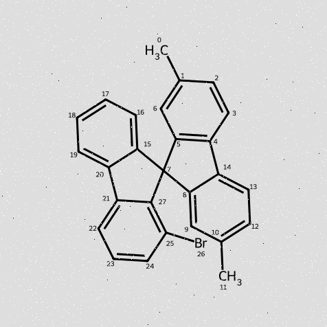 Cc1ccc2c(c1)C1(c3cc(C)ccc3-2)c2ccccc2-c2cccc(Br)c21